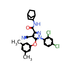 Cc1cc(C)cc(Oc2c(C#N)c(C(=O)NC3CC4CCC3C4)nn2-c2ccc(Cl)cc2Cl)c1